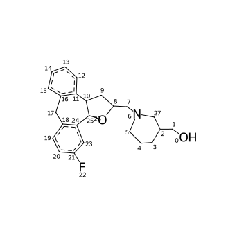 OCC1CCCN(CC2CC3c4ccccc4Cc4ccc(F)cc4C3O2)C1